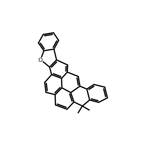 CC1(C)c2ccccc2-c2cc3cc4c5ccccc5oc4c4ccc5ccc1c2c5c34